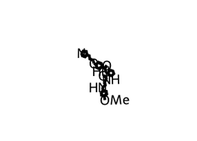 COc1ccc(NCCNC(=O)[C@@H]2CCCC[C@@H]2NC(=O)c2ccc(OCCCc3ccncc3)cc2)cc1